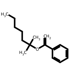 C=C(OC(C)(C)CCCCC)c1ccccc1